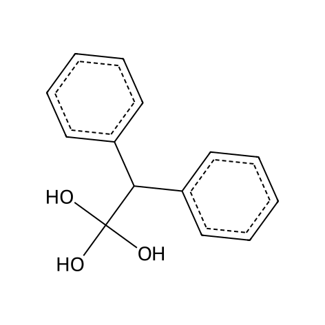 OC(O)(O)C(c1ccccc1)c1ccccc1